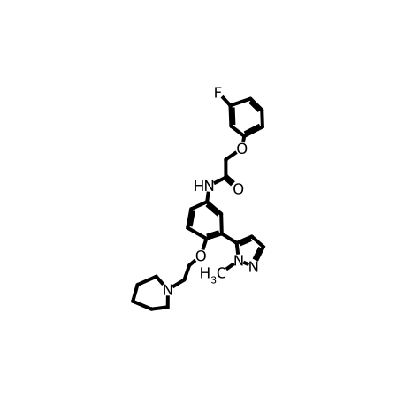 Cn1nccc1-c1cc(NC(=O)COc2cccc(F)c2)ccc1OCCN1CCCCC1